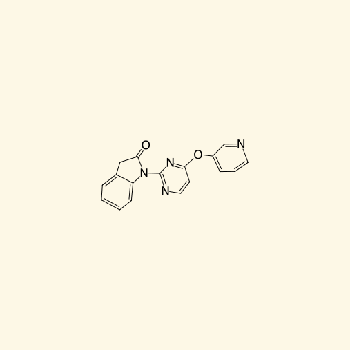 O=C1Cc2ccccc2N1c1nccc(Oc2cccnc2)n1